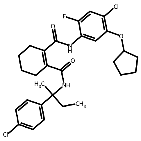 CCC(C)(NC(=O)C1=C(C(=O)Nc2cc(OC3CCCC3)c(Cl)cc2F)CCCC1)c1ccc(Cl)cc1